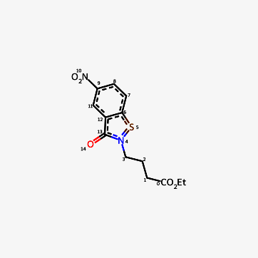 CCOC(=O)CCCn1sc2ccc([N+](=O)[O-])cc2c1=O